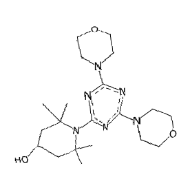 CC1(C)CC(O)CC(C)(C)N1c1nc(N2CCOCC2)nc(N2CCOCC2)n1